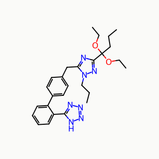 CCCn1nc(C(CCC)(OCC)OCC)nc1Cc1ccc(-c2ccccc2-c2nnn[nH]2)cc1